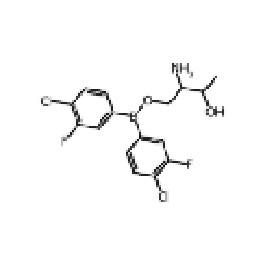 CC(O)C(N)COB(c1ccc(Cl)c(F)c1)c1ccc(Cl)c(F)c1